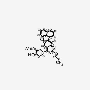 CN[C@@H]1CN(c2nc(OCCC(F)(F)F)nc3c(F)c(-c4cccc5cccc(Cl)c45)ncc23)CC[C@H]1O